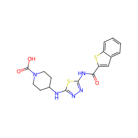 O=C(Nc1nnc(NC2CCN(C(=O)O)CC2)s1)c1cc2ccccc2s1